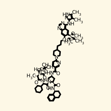 Cc1[nH]nc(Nc2ncnc3cc(OCCCC4CCN(c5ccc(C(=O)N[C@H]6C[C@@H](C(=O)N[C@@H]7CCCc8ccccc87)N(C(=O)[C@@H](NC(=O)[C@H](C)N(C)C(=O)OC(C)(C)C)C7CCCCC7)C6)cn5)CC4)c(S(=O)(=O)C(C)(C)C)cc23)c1C